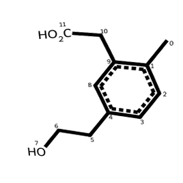 Cc1ccc(CCO)cc1CC(=O)O